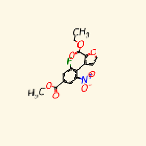 CCOC(=O)c1occc1-c1c(F)cc(C(=O)OC)cc1[N+](=O)[O-]